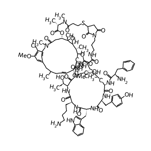 COc1cc2cc(c1Cl)N(C)C(=O)C[C@H](OC(=O)[C@H](C)N(C)C(=O)CCSC1CC(=O)N(CCCNC(=O)[C@@H](NC(=O)[C@@H]3CSSC[C@H](NC(=O)[C@H](N)Cc4ccccc4)C(=O)N[C@@H](Cc4ccc(O)cc4)C(=O)N[C@H](Cc4c[nH]c5ccccc45)C(=O)N[C@@H](CCCCN)C(=O)N[C@@H]([C@@H](C)O)C(=O)N3)[C@@H](C)O)C1=O)[C@]1(C)O[C@H]1[C@H](C)[C@@H]1C[C@@](O)(NC(=O)O1)[C@H](OC)/C=C/CC(C)C2